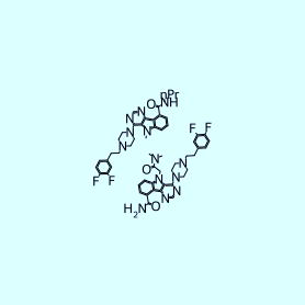 CCCNC(=O)c1cccc2c1c1ncnc(N3CCN(CCc4ccc(F)c(F)c4)CC3)c1n2C.CN(C)C(=O)Cn1c2cccc(C(N)=O)c2c2ncnc(N3CCN(CCc4ccc(F)c(F)c4)CC3)c21